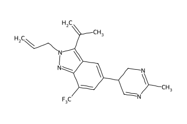 C=CCn1nc2c(C(F)(F)F)cc(C3C=NC(C)=NC3)cc2c1C(=C)C